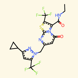 CCNC(=O)c1c(C(F)(F)F)sc2nc(Cn3nc(C4CC4)cc3C(F)(F)F)cc(=O)n12